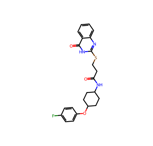 O=C(CCSc1nc2ccccc2c(=O)[nH]1)NC1CCC(Oc2ccc(F)cc2)CC1